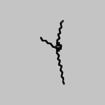 CCCCCCCCCCCCN1C=CN(CCCCCCCC)C1CCCCCC